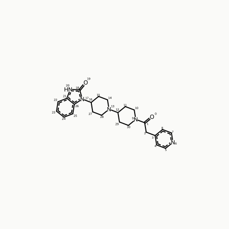 O=C(Cc1ccncc1)N1CCC(N2CCC(n3c(=O)[nH]c4ccccc43)CC2)CC1